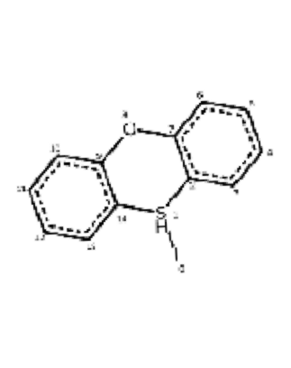 I[SH]1c2ccccc2Oc2ccccc21